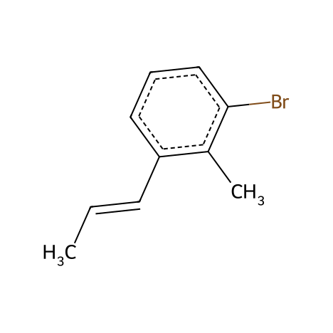 C/C=C/c1cccc(Br)c1C